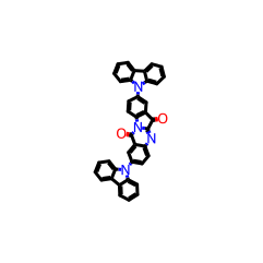 O=C1c2cc(-n3c4ccccc4c4ccccc43)ccc2-n2c1nc1ccc(-n3c4ccccc4c4ccccc43)cc1c2=O